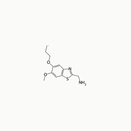 [CH2]CCOc1cc2nc(CN)sc2cc1OC